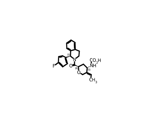 CC=C1CO[C@@H](C(=O)N2CCc3ccccc3[C@@H]2c2ccc(F)cc2)C[C@@H]1NC(=O)O